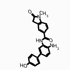 CN1C(=O)Cc2cc(C(=O)Nc3cc(-c4ccc(O)cc4)ccc3N)ccc21